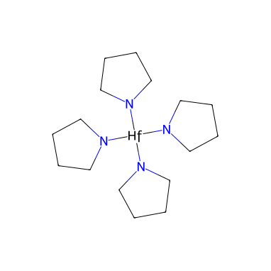 C1CC[N]([Hf]([N]2CCCC2)([N]2CCCC2)[N]2CCCC2)C1